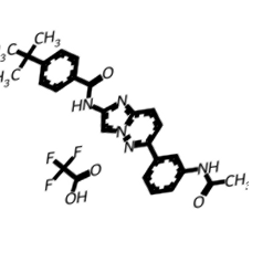 CC(=O)Nc1cccc(-c2ccc3nc(NC(=O)c4ccc(C(C)(C)C)cc4)cn3n2)c1.O=C(O)C(F)(F)F